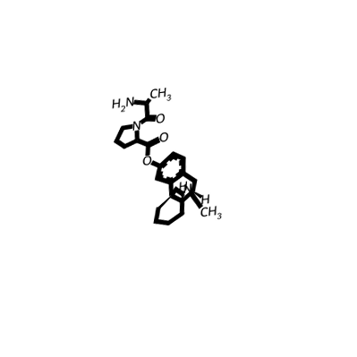 CC(N)C(=O)N1CCCC1C(=O)Oc1ccc2c(c1)[C@@]13CCCC[C@H]1[C@@H](C2)N(C)CC3